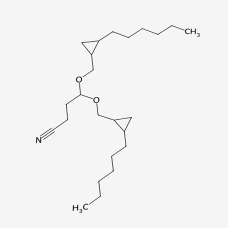 CCCCCCC1CC1COC(CCC#N)OCC1CC1CCCCCC